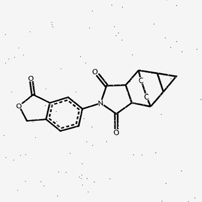 O=C1OCc2ccc(N3C(=O)C4C5CCC(C6CC65)C4C3=O)cc21